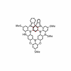 CSc1cc2c3c(c1)Oc1cc4c(cc1B3c1cc3c(cc1O2)Nc1cc(SC)cc2c1B3c1cccc3c5ccccc5n-2c13)B1c2c(cc(SC)cc2-n2c3ccccc3c3cccc1c32)N4SC